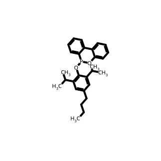 CCCCc1cc(C(C)C)c(OP2Oc3ccccc3-c3ccccc32)c(C(C)C)c1